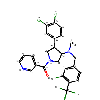 CN(Cc1ccc(C(F)(F)F)c(F)c1)C1CN(C(=O)c2cccnc2)CC1c1ccc(Cl)c(Cl)c1